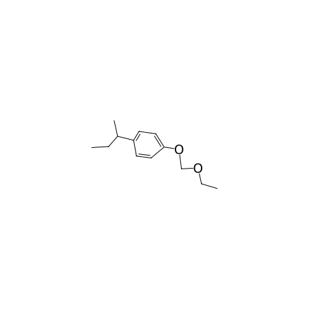 CCOCOc1ccc(C(C)CC)cc1